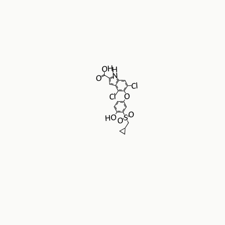 O=C(O)c1cc2c(Cl)c(Oc3ccc(O)c(S(=O)(=O)CC4CC4)c3)c(Cl)cc2[nH]1